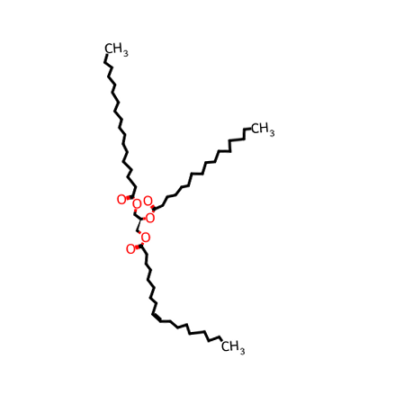 CCCCCCCC/C=C\CCCCCCCC(=O)OC[C@@H](COC(=O)CCCCCCCCCCCCCCCCC)OC(=O)CCCCCCCCCCCCCCC